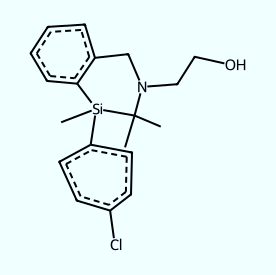 CC1(C)N(CCO)Cc2ccccc2[Si]1(C)c1ccc(Cl)cc1